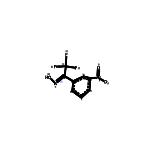 O=[N+]([O-])c1cccc(/C(=N/O)C(F)(F)F)c1